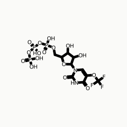 O=c1[nH]c(=O)n(C2OC(COP(=O)(O)OP(=O)(O)OP(=O)(O)O)C(O)C2O)cc1OC(F)(F)F